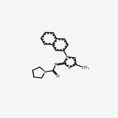 Cc1cn(-c2ccc3ccccc3c2)c(=NC(=O)N2CCCC2)s1